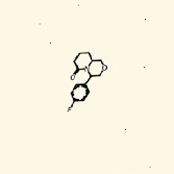 O=C1CCCC2COCC(c3ccc(F)cc3)N12